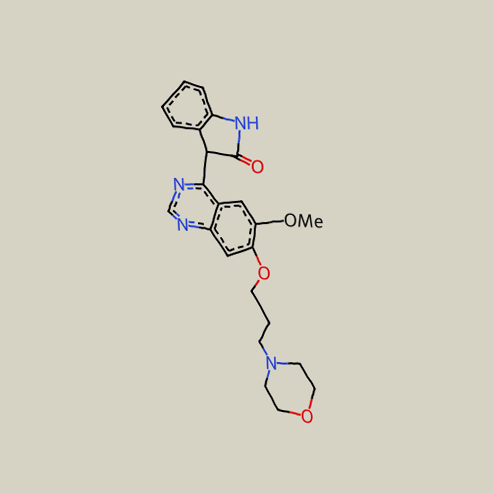 COc1cc2c(C3C(=O)Nc4ccccc43)ncnc2cc1OCCCN1CCOCC1